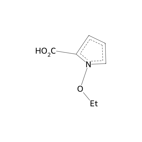 CCOn1cccc1C(=O)O